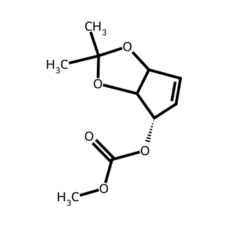 COC(=O)O[C@H]1C=CC2OC(C)(C)OC21